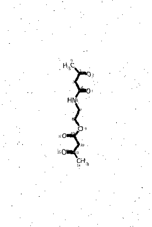 CC(=O)CC(=O)NCCOC(=O)CC(C)=O